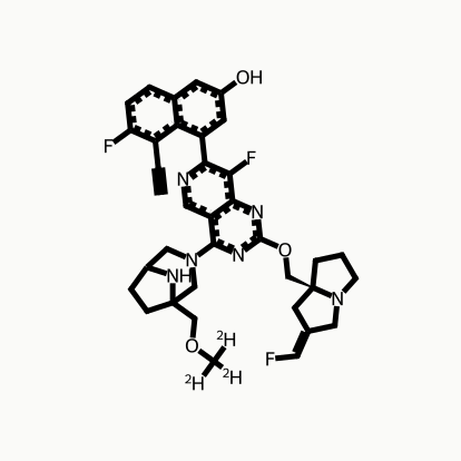 [2H]C([2H])([2H])OCC12CCC(CN(c3nc(OC[C@@]45CCCN4C/C(=C/F)C5)nc4c(F)c(-c5cc(O)cc6ccc(F)c(C#C)c56)ncc34)C1)N2